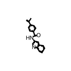 C=C(C)c1ccc(C(=O)Nc2cnc3ccccc3c2)cc1